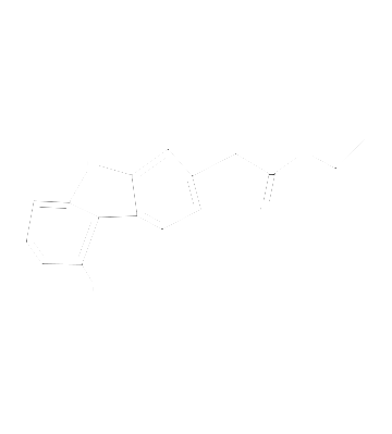 CCOC(=O)Cc1ccc2c(c1)oc1cccc(Cl)c12